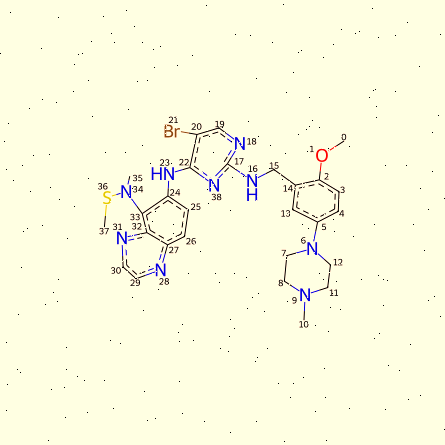 COc1ccc(N2CCN(C)CC2)cc1CNc1ncc(Br)c(Nc2ccc3nccnc3c2N(C)SC)n1